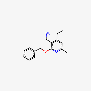 CCc1cc(C)nc(OCc2ccccc2)c1CN